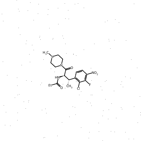 CCC(=O)N[C@@H](C(=O)N1CCN(C)CC1)[C@@H](C)c1ccc([N+](=O)[O-])c(F)c1Cl